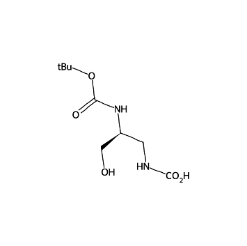 CC(C)(C)OC(=O)N[C@H](CO)CNC(=O)O